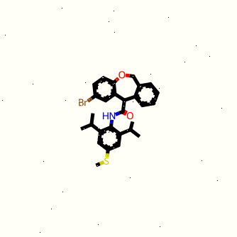 CSc1cc(C(C)C)c(NC(=O)C2c3ccccc3COc3ccc(Br)cc32)c(C(C)C)c1